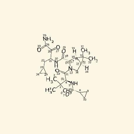 CC(C)(C)[C@H](NC(=O)C1CC1)C(=O)N1C[C@H]2[C@@H]([C@H]1C(=O)NC(CC1CC1)C(=O)C(N)=O)C2(C)C